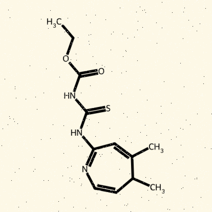 CCOC(=O)NC(=S)NC1=NC=CC(C)C(C)=C1